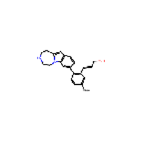 COc1ccc(-c2ccc3cc4n(c3c2)CCNCC4)c(C=CCO)c1